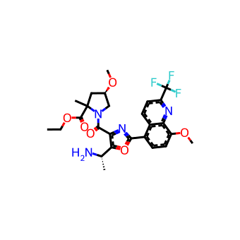 CCOC(=O)C1(C)C[C@@H](OC)CN1C(=O)c1nc(-c2ccc(OC)c3nc(C(F)(F)F)ccc23)oc1[C@H](C)N